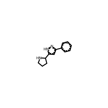 c1ccc(-c2cc(C3CCCN3)[nH]n2)cc1